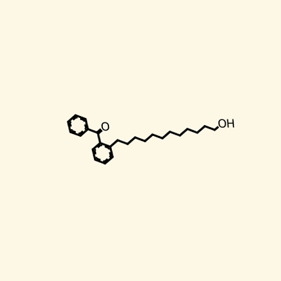 O=C(c1ccccc1)c1ccccc1CCCCCCCCCCCCO